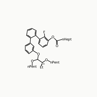 CCCCCCCC(=O)Oc1cccc(-c2ccccc2-c2cccc(OC(OCCCCC)[C@H](CC)OCCCCC)c2)c1F